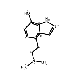 CN(C)CCc1ccc(O)c2[nH]ncc12